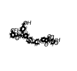 O=C1CCN(N2C(=O)c3ccc(N4CCC(CN5CCN(c6ccc7c(c6)nc(NC(=O)c6cccc(C(F)(F)F)c6)n7C6CCC(CO)CC6)CC5)CC4)cc3C2=O)C(=O)N1